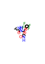 CC(C)C[C@H](N)C(=O)N[C@@H](C[C@@H]1CCNC1=O)C(=O)COc1c(F)c(F)cc(F)c1F